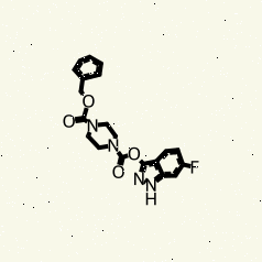 O=C(OCc1ccccc1)N1CCN(C(=O)Oc2n[nH]c3cc(F)ccc23)CC1